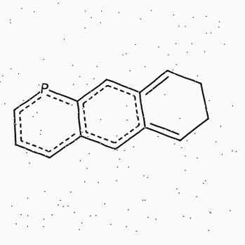 C1=c2cc3cccpc3cc2=CCC1